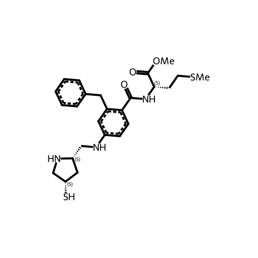 COC(=O)[C@H](CCSC)NC(=O)c1ccc(NC[C@@H]2C[C@H](S)CN2)cc1Cc1ccccc1